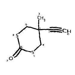 C#CC1(C)CSC(=O)SC1